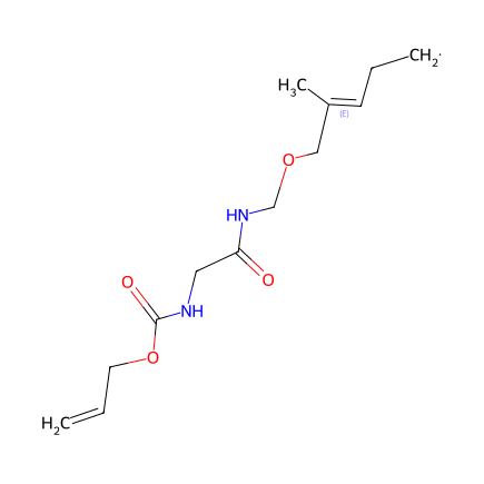 [CH2]C/C=C(\C)COCNC(=O)CNC(=O)OCC=C